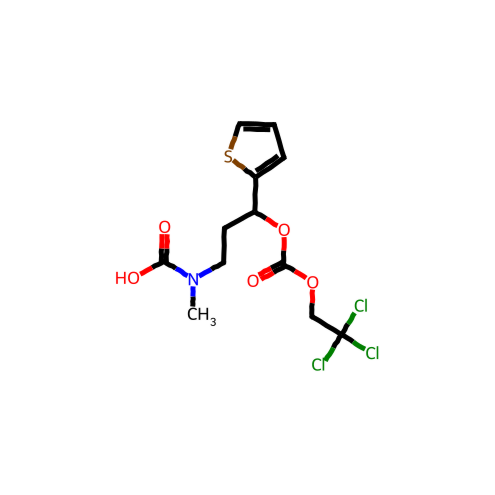 CN(CCC(OC(=O)OCC(Cl)(Cl)Cl)c1cccs1)C(=O)O